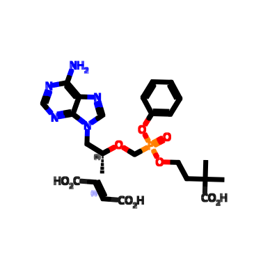 C[C@H](Cn1cnc2c(N)ncnc21)OCP(=O)(OCCC(C)(C)C(=O)O)Oc1ccccc1.O=C(O)/C=C/C(=O)O